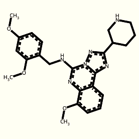 COc1ccc(CNc2nc3c(OC)cccc3c3nc(C4CCCNC4)nn23)c(OC)c1